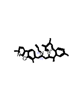 C=C/C=N/C(=C\c1ccc2c(oc3nc(C)ccc32)c1C)CC1C(C)c2cc(C)ccc2-c2cc(C)c(C)c[n+]21